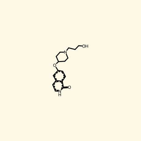 O=c1[nH]ccc2cc(OC3CCN(CCCO)CC3)ccc12